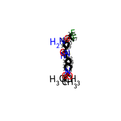 CC(C)(C)OC(=O)N1CCc2ccc(-c3noc(-c4ccc(OC(CF)CF)c(N)c4)n3)cc2CC1